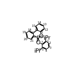 CC(C)c1cccc(C(C)C)c1OP1Oc2ccccc2-c2ccccc21